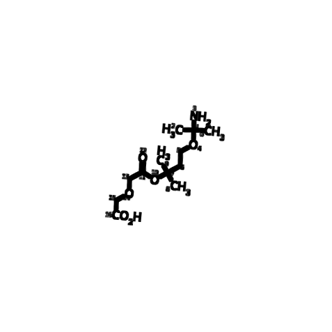 CC(C)(N)OCCC(C)(C)OC(=O)COCC(=O)O